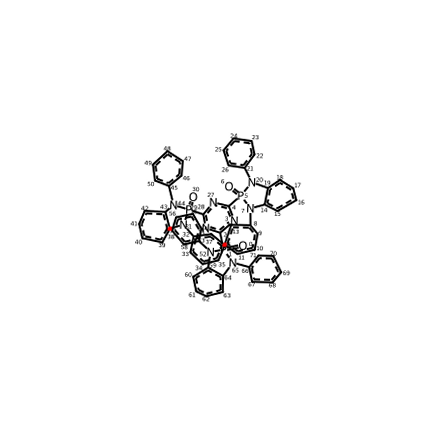 O=P1(c2nc(P3(=O)N(c4ccccc4)c4ccccc4N3c3ccccc3)nc(P3(=O)N(c4ccccc4)c4ccccc4N3c3ccccc3)n2)N(c2ccccc2)c2ccccc2N1c1ccccc1